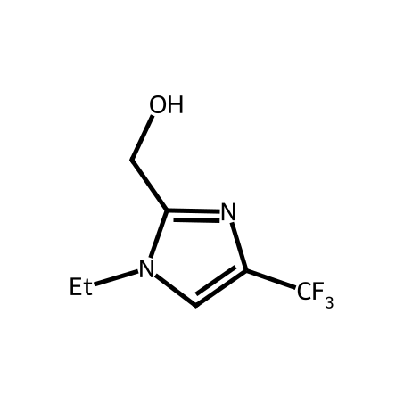 CCn1cc(C(F)(F)F)nc1CO